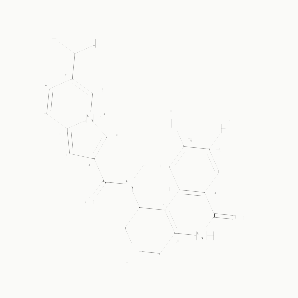 CN(C(=O)c1cc2ccc(C(F)F)cn2c1)C1COCc2[nH]c(=O)c3cc(F)c(F)cc3c21